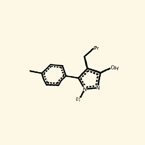 CCn1nc(O)c(CC(C)C)c1-c1ccc(C)cc1